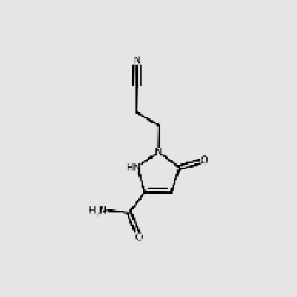 N#CCCn1[nH]c(C(N)=O)cc1=O